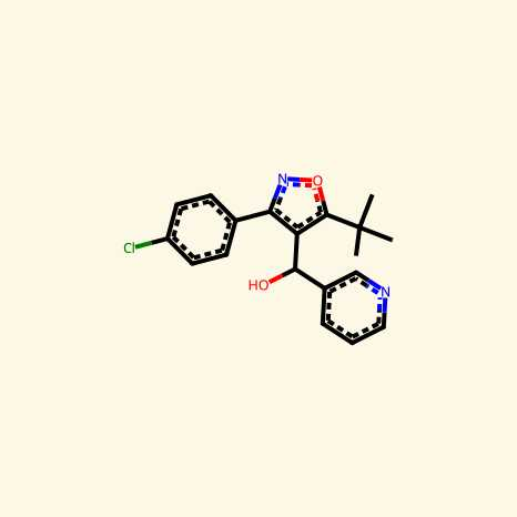 CC(C)(C)c1onc(-c2ccc(Cl)cc2)c1C(O)c1cccnc1